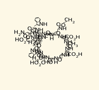 C=CCOC(=O)NCCC[C@@H]1NC(=O)CNC(=O)[C@@H](NC(=O)[C@H](CC(=O)O)NC(=O)[C@@H](CC(N)=O)NC(=O)[C@H](Cc2c[nH]c3ccccc23)NC(=O)CCCCCCCCC)[C@@H](C)OC(=O)[C@H](CC(=O)c2ccccc2N)NC(=O)[C@H](C(C)CC(=O)O)NC(=O)[C@@H](CO)NC(=O)CNC(=O)[C@H](CC(=O)O)NC(=O)[C@@H](C)NC(=O)[C@H](CC(=O)O)NC1=O